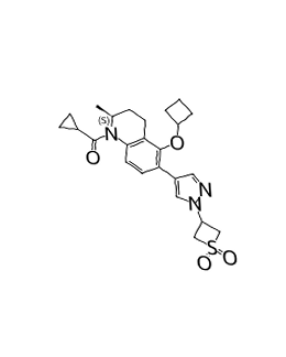 C[C@H]1CCc2c(ccc(-c3cnn(C4CS(=O)(=O)C4)c3)c2OC2CCC2)N1C(=O)C1CC1